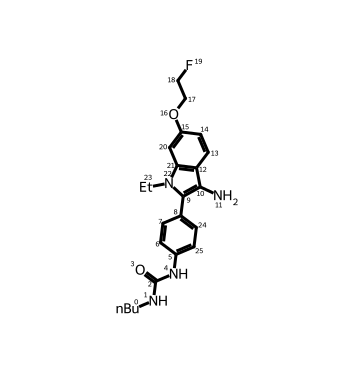 CCCCNC(=O)Nc1ccc(-c2c(N)c3ccc(OCCF)cc3n2CC)cc1